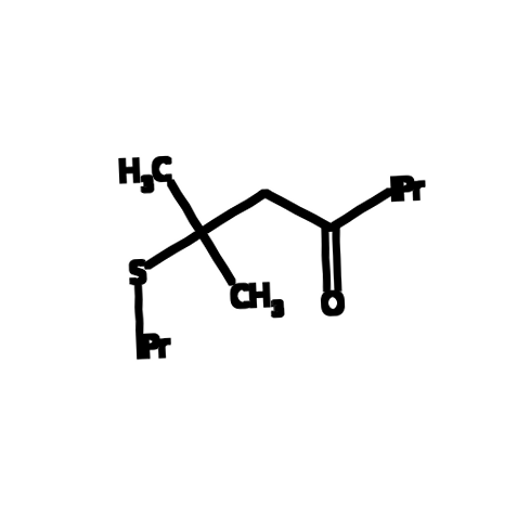 CC(C)SC(C)(C)CC(=O)C(C)C